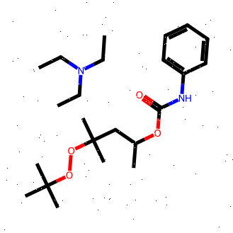 CC(CC(C)(C)OOC(C)(C)C)OC(=O)Nc1ccccc1.CCN(CC)CC